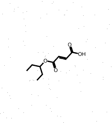 CCC(CC)OC(=O)/C=C/C(=O)O